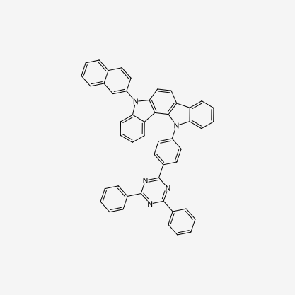 c1ccc(-c2nc(-c3ccccc3)nc(-c3ccc(-n4c5ccccc5c5ccc6c(c7ccccc7n6-c6ccc7ccccc7c6)c54)cc3)n2)cc1